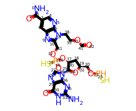 NC(=O)c1cnc2c(c1)nc(COP(=O)(S)O[C@@H]1C[C@@H](COPS)O[C@H]1n1cnc3c(=O)[nH]c(N)nc31)n2CCOC=O